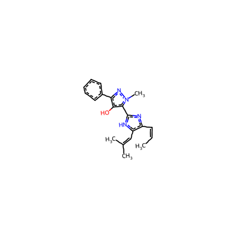 C/C=C\c1nc(-c2c(O)c(-c3ccccc3)nn2C)[nH]c1C=C(C)C